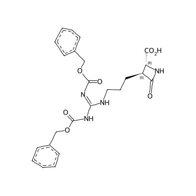 O=C(N=C(NCCC[C@@H]1C(=O)N[C@H]1C(=O)O)NC(=O)OCc1ccccc1)OCc1ccccc1